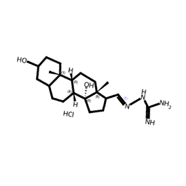 C[C@]12CCC(O)CC1CC[C@@H]1[C@H]2CC[C@]2(C)C(/C=N/NC(=N)N)CC[C@@]12O.Cl